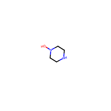 ON1[CH]CNCC1